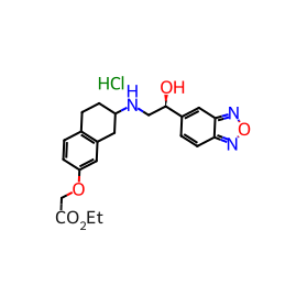 CCOC(=O)COc1ccc2c(c1)CC(NC[C@@H](O)c1ccc3nonc3c1)CC2.Cl